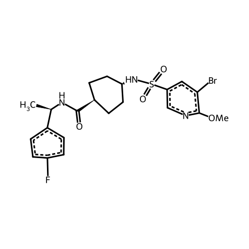 COc1ncc(S(=O)(=O)N[C@H]2CC[C@H](C(=O)N[C@H](C)c3ccc(F)cc3)CC2)cc1Br